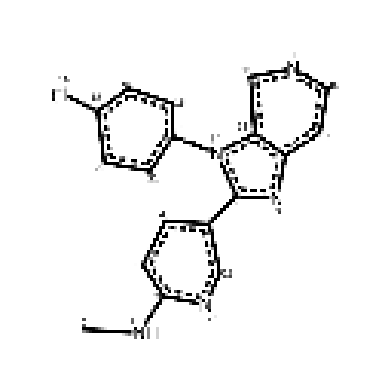 CNc1ccc(-c2nc3ccncc3n2-c2ccc(Cl)cc2)cn1